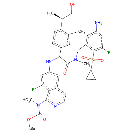 Cc1cc(C(Nc2cc(F)c3c(N(C(=O)O)C(=O)OC(C)(C)C)nccc3c2)C(=O)N(C)Cc2cc(N)cc(F)c2S(=O)(=O)C2CC2)ccc1[C@@H](C)CO